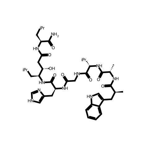 CC(C)C[C@H](NC(=O)C[C@H](O)[C@H](CC(C)C)NC(=O)[C@H](Cc1c[nH]cn1)NC(=O)CNC(=O)[C@@H](NC(=O)[C@H](C)NC(=O)[C@@H](C)Cc1c[nH]c2ccccc12)C(C)C)C(N)=O